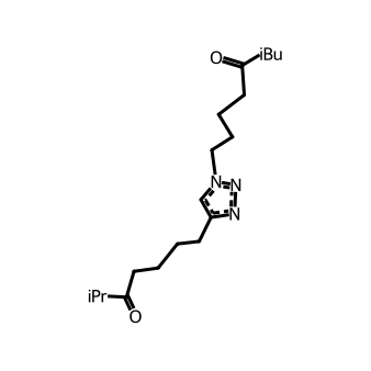 CCC(C)C(=O)CCCCn1cc(CCCCC(=O)C(C)C)nn1